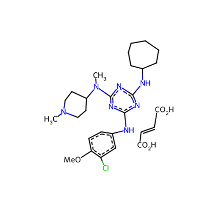 COc1ccc(Nc2nc(NC3CCCCCC3)nc(N(C)C3CCN(C)CC3)n2)cc1Cl.O=C(O)C=CC(=O)O